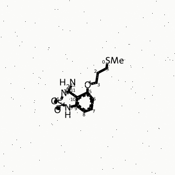 CSCCCOc1cccc2c1C(N)=NS(=O)(=O)N2